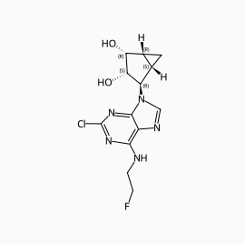 O[C@@H]1[C@H](O)[C@@H]2C[C@@H]2[C@H]1n1cnc2c(NCCF)nc(Cl)nc21